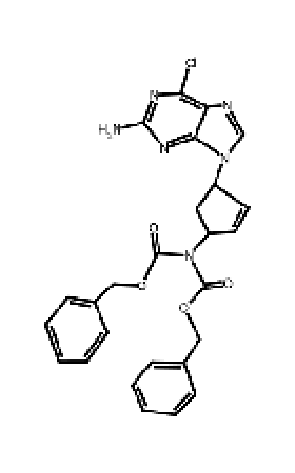 Nc1nc(Cl)c2ncn(C3C=CC(N(C(=O)OCc4ccccc4)C(=O)OCc4ccccc4)C3)c2n1